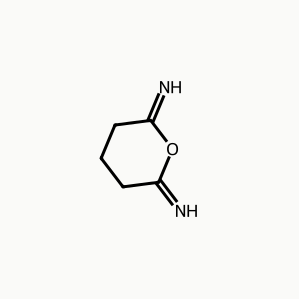 N=C1CCCC(=N)O1